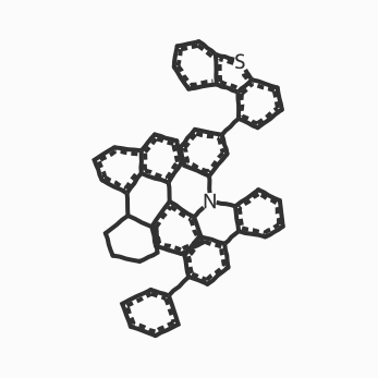 c1ccc(-c2ccc(-c3ccccc3N(c3cccc(-c4cccc5sc6ccccc6c45)c3)c3ccccc3-c3cccc4cccc(C5CCCCC5)c34)cc2)cc1